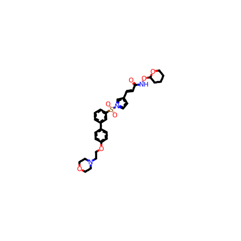 O=C(C=Cc1ccn(S(=O)(=O)c2cccc(-c3ccc(OCCN4CCOCC4)cc3)c2)c1)NOC1CCCCO1